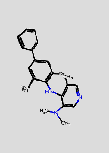 Cc1cncc(N(C)C)c1Nc1c(C(C)C)cc(-c2ccccc2)cc1C(C)C